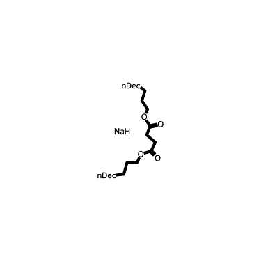 CCCCCCCCCCCCCOC(=O)CCC(=O)OCCCCCCCCCCCCC.[NaH]